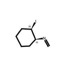 C=N[C@H]1CCCC[C@H]1I